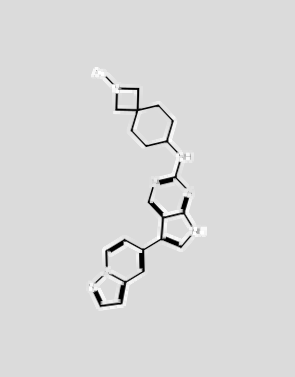 CC(=O)N1CC2(CCC(Nc3ncc4c(-c5ccn6nccc6c5)c[nH]c4n3)CC2)C1